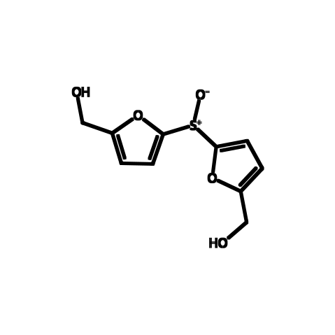 [O-][S+](c1ccc(CO)o1)c1ccc(CO)o1